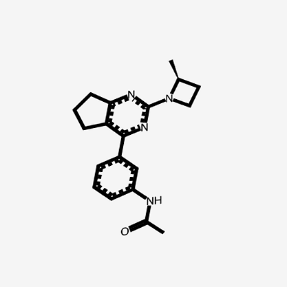 CC(=O)Nc1cccc(-c2nc(N3CC[C@@H]3C)nc3c2CCC3)c1